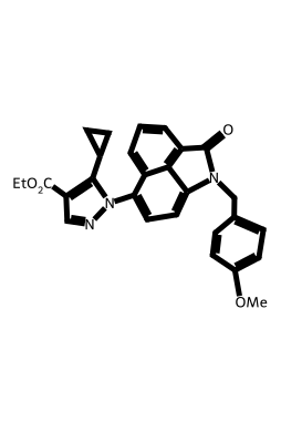 CCOC(=O)c1cnn(-c2ccc3c4c(cccc24)C(=O)N3Cc2ccc(OC)cc2)c1C1CC1